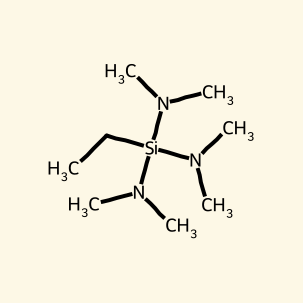 CC[Si](N(C)C)(N(C)C)N(C)C